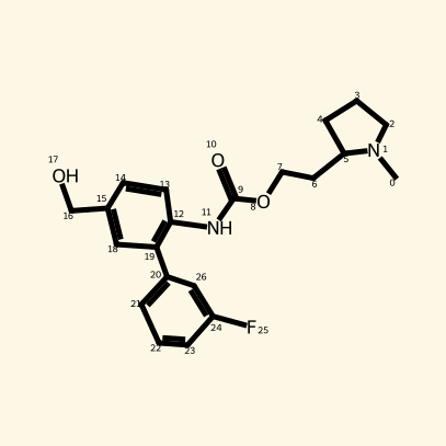 CN1CCCC1CCOC(=O)Nc1ccc(CO)cc1-c1cccc(F)c1